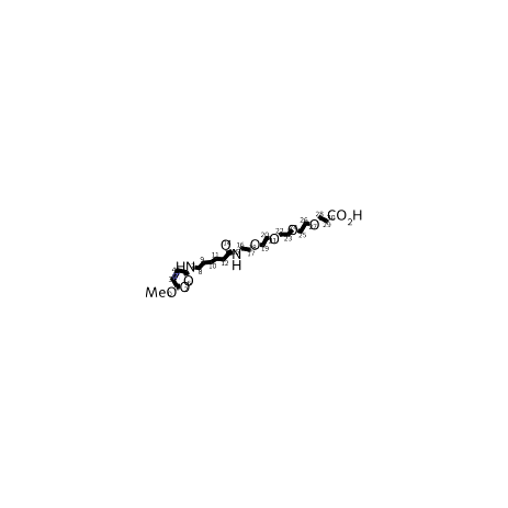 COC(=O)/C=C\C(=O)NCCCCCC(=O)NCCOCCOCCOCCOCCC(=O)O